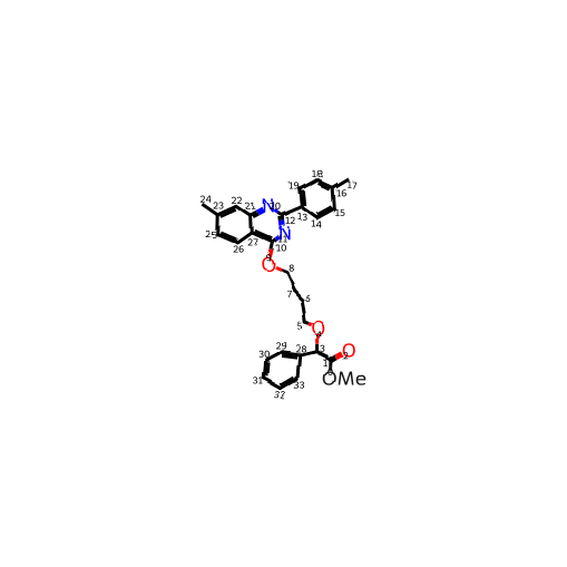 COC(=O)C(OCCCCOc1nc(-c2ccc(C)cc2)nc2cc(C)ccc12)c1ccccc1